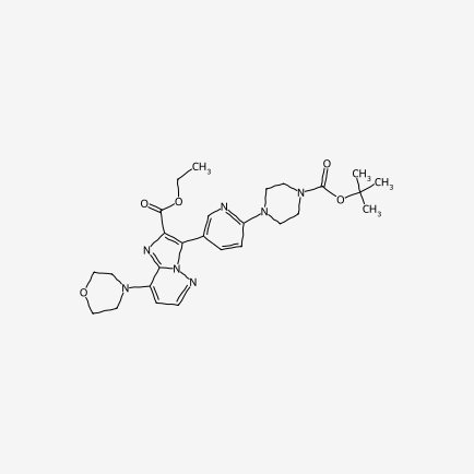 CCOC(=O)c1nc2c(N3CCOCC3)ccnn2c1-c1ccc(N2CCN(C(=O)OC(C)(C)C)CC2)nc1